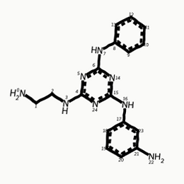 NCCNc1nc(Nc2ccccc2)nc(Nc2cccc(N)c2)n1